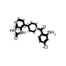 Nc1cc(Cl)ccc1C(=O)N1CCC(c2ccnc3[nH]c(=O)[nH]c23)CC1